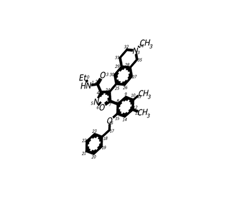 CCNC(=O)c1noc(-c2cc(C)c(C)cc2OCc2ccccc2)c1-c1ccc2c(c1)CCN(C)C2